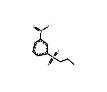 CCCS(=O)(=S)c1cccc([N+](=O)[O-])c1